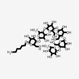 NCCCCCO[C@@H]1OC(CO)[C@@H](O[C@@H]2OC(C(=O)O)[C@@H](O[C@H]3OC(CO)[C@H](O[C@H]4OC(CO)[C@@H](O[C@@H]5OC(CO)[C@@H](O[C@@H]6OC(C(=O)O)[C@@H](O)C(O)C6O)C(O)C5O)C(O)C4O)C(O)C3O)C(O)C2O)C(O)C1O